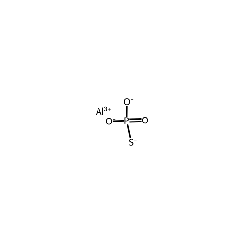 O=P([O-])([O-])[S-].[Al+3]